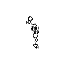 C[C@]12CC[C@H](OCc3cncs3)CC1=CC[C@@H]1[C@@H]2CC[C@]2(C)C(n3cnc4ccccc43)=CC[C@@H]12